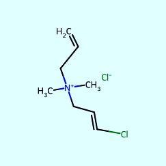 C=CC[N+](C)(C)CC=CCl.[Cl-]